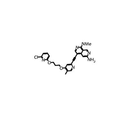 CNc1ncc(C#Cc2cc(OCCCOc3cccc(Cl)n3)c(C)cn2)c2cc(N)ncc12